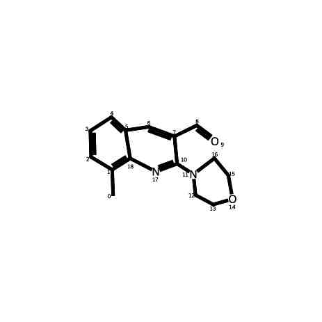 Cc1cccc2cc(C=O)c(N3CCOCC3)nc12